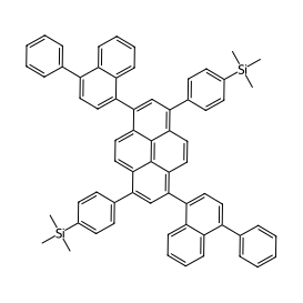 C[Si](C)(C)c1ccc(-c2cc(-c3ccc(-c4ccccc4)c4ccccc34)c3ccc4c(-c5ccc([Si](C)(C)C)cc5)cc(-c5ccc(-c6ccccc6)c6ccccc56)c5ccc2c3c45)cc1